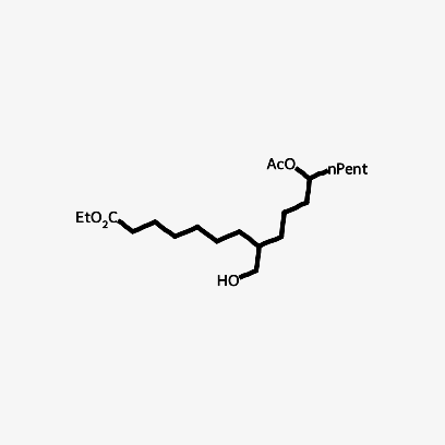 CCCCCC(CCCC(CO)CCCCCCC(=O)OCC)OC(C)=O